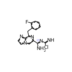 N=C(Cl)/N=C(\N)c1cn2ccnc2c(Cc2ccccc2F)n1